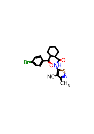 Cc1nsc(NC(=O)C2CCCCC2C(=O)c2ccc(Br)cc2)c1C#N